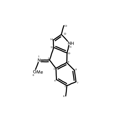 CO/N=C1\c2cc(C)ccc2-c2[nH]c(C)cc21